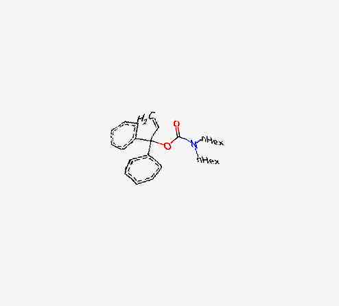 C=CC(OC(=O)N(CCCCCC)CCCCCC)(c1ccccc1)c1ccccc1